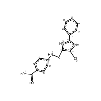 CCCC(=O)c1ccc(NCc2[nH]c(-c3ccccc3)nc2Cl)cc1